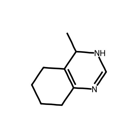 CC1NC=NC2=C1CCCC2